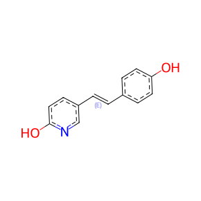 Oc1ccc(/C=C/c2ccc(O)nc2)cc1